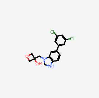 OC1(CN2CNc3ccc(-c4cc(Cl)cc(Cl)c4)cc32)COC1